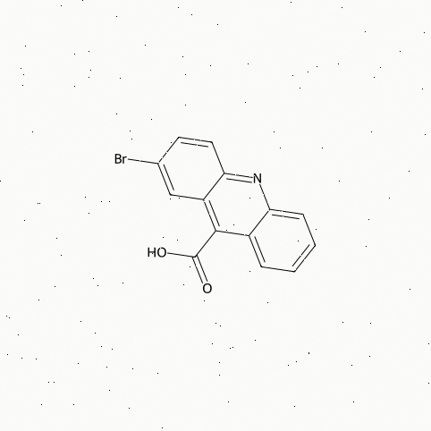 O=C(O)c1c2ccccc2nc2ccc(Br)cc12